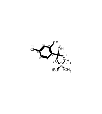 CC(O)(O[Si](C)(C)C(C)(C)C)c1ccc(Cl)cc1F